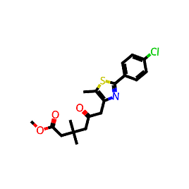 COC(=O)CC(C)(C)CC(=O)Cc1nc(-c2ccc(Cl)cc2)sc1C